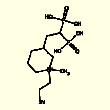 C[N+]1(CCS)CCCC(CC(P(=O)(O)O)P(=O)(O)O)C1